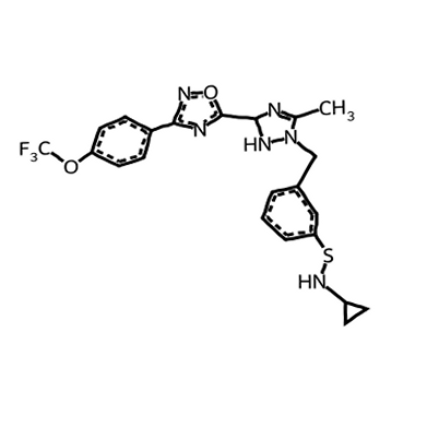 CC1=NC(c2nc(-c3ccc(OC(F)(F)F)cc3)no2)NN1Cc1cccc(SNC2CC2)c1